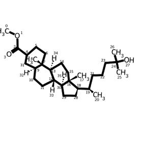 COC(=O)C1CC[C@@]2(C)[C@@H](CC[C@@H]3[C@@H]2CC[C@]2(C)[C@@H]([C@H](C)CCCC(C)(C)O)CC[C@@H]32)C1